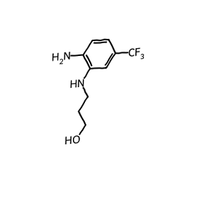 Nc1ccc(C(F)(F)F)cc1NCCCO